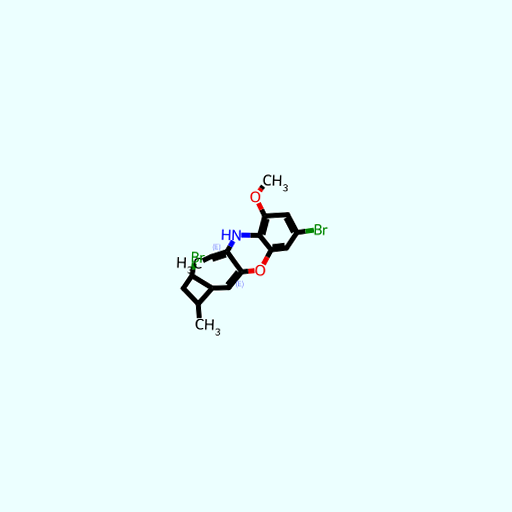 C/C=C1/Nc2c(OC)cc(Br)cc2O/C1=C/C1C(C)CC1Br